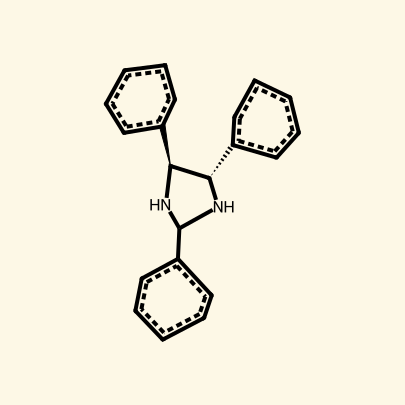 c1ccc(C2N[C@@H](c3ccccc3)[C@H](c3ccccc3)N2)cc1